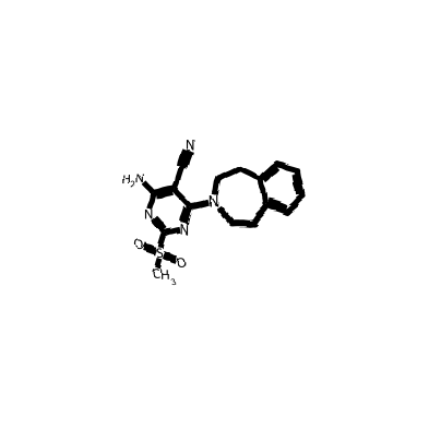 CS(=O)(=O)c1nc(N)c(C#N)c(N2CCc3ccccc3CC2)n1